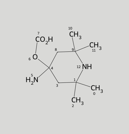 CC1(C)CC(N)(OC(=O)O)CC(C)(C)N1